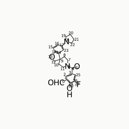 O=Cc1cc(C(=O)N2CCC3(CC2)COc2ccc(N4CCCC4)cc23)cc(F)c1O